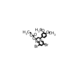 CCOC(=O)OC1CC(c2ccc(OC)c(OC)c2)N2C=C(Br)C=C(Br)C2=N1